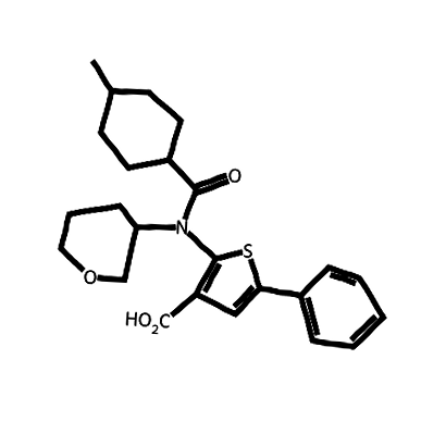 CC1CCC(C(=O)N(c2sc(-c3ccccc3)cc2C(=O)O)C2CCCOC2)CC1